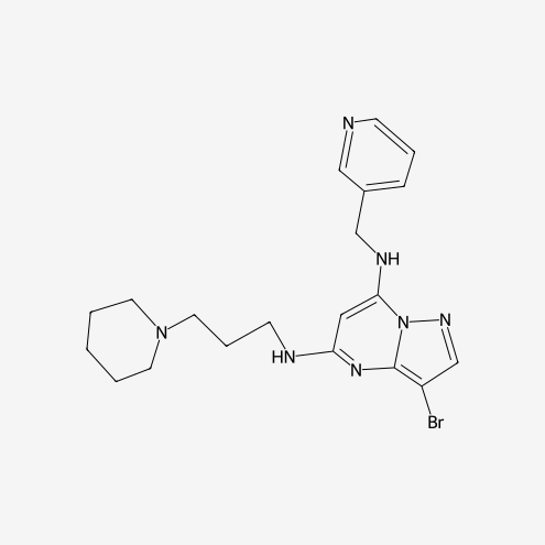 Brc1cnn2c(NCc3cccnc3)cc(NCCCN3CCCCC3)nc12